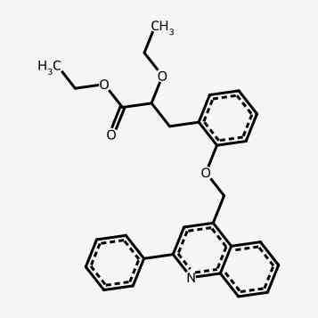 CCOC(=O)C(Cc1ccccc1OCc1cc(-c2ccccc2)nc2ccccc12)OCC